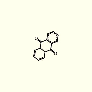 O=C1c2ccccc2C(=O)C2C=CC=CC12